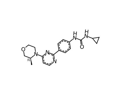 C[C@H]1COCCN1c1ccnc(-c2ccc(NC(=O)NC3CC3)cc2)n1